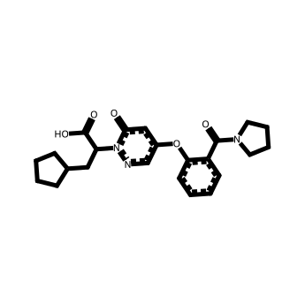 O=C(O)C(CC1CCCC1)n1ncc(Oc2ccccc2C(=O)N2CCCC2)cc1=O